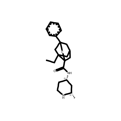 CCC12CC3CC(c4ccccc4)(C1)CC2(C(=O)N[C@H]1CCN[C@@H](C)C1)C3